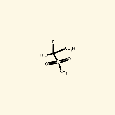 CC(F)(C(=O)O)S(C)(=O)=O